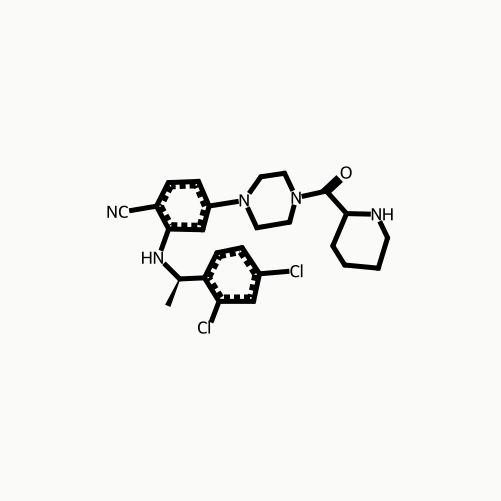 C[C@@H](Nc1cc(N2CCN(C(=O)C3CCCCN3)CC2)ccc1C#N)c1ccc(Cl)cc1Cl